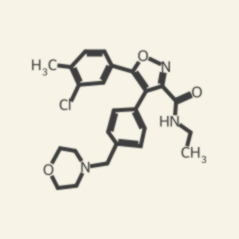 CCNC(=O)c1noc(-c2ccc(C)c(Cl)c2)c1-c1ccc(CN2CCOCC2)cc1